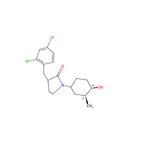 C[C@H]1CC(N2CCC(Cc3ccc(Cl)cc3Cl)C2=O)CC[C@H]1O